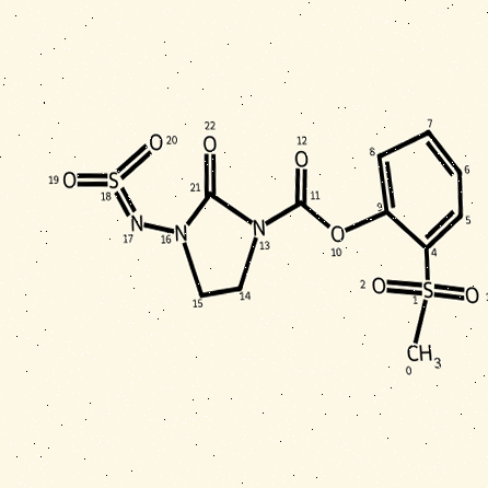 CS(=O)(=O)c1ccccc1OC(=O)N1CCN(N=S(=O)=O)C1=O